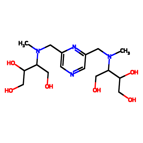 CN(Cc1cncc(CN(C)C(CO)C(O)CO)n1)C(CO)C(O)CO